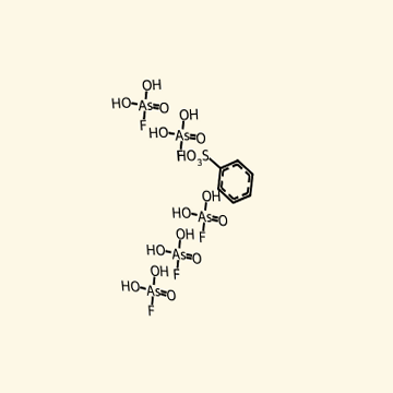 O=S(=O)(O)c1ccccc1.O=[As](O)(O)F.O=[As](O)(O)F.O=[As](O)(O)F.O=[As](O)(O)F.O=[As](O)(O)F